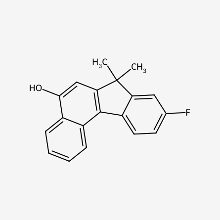 CC1(C)c2cc(F)ccc2-c2c1cc(O)c1ccccc21